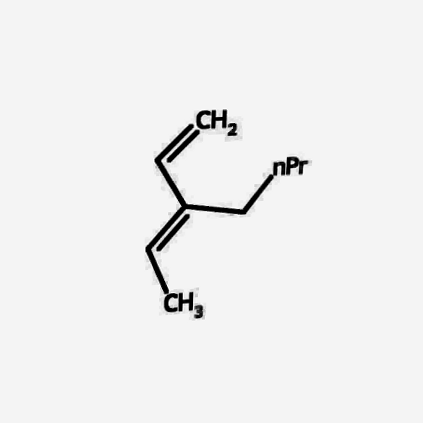 C=C/C(=C/C)CCCC